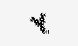 CCN(CC)c1ccc(-c2nc(-c3ccc(O)cc3)[nH]c2-c2ccc(N(CC)CC)cc2C)c(C)c1